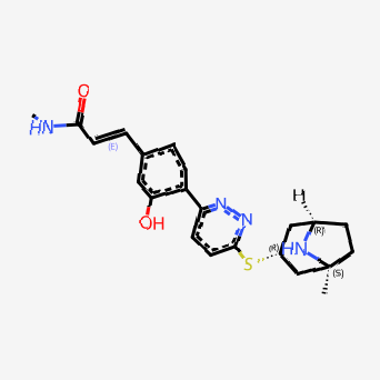 CNC(=O)/C=C/c1ccc(-c2ccc(S[C@@H]3C[C@H]4CC[C@@](C)(C3)N4)nn2)c(O)c1